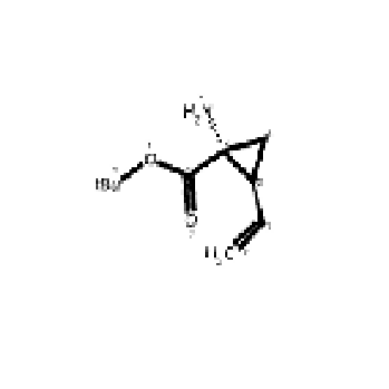 C=C[C@@H]1C[C@]1(N)C(=O)OC(C)(C)C